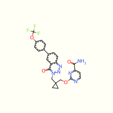 NC(=O)c1ccnc(OCC2(Cn3nnc4ccc(-c5ccc(OC(F)(F)F)cc5)cc4c3=O)CC2)n1